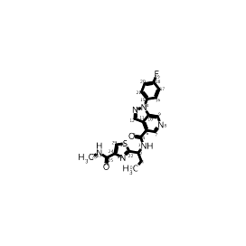 CCC(NC(=O)c1cncc2c1cnn2-c1ccc(F)cc1)c1nc(C(=O)NC)cs1